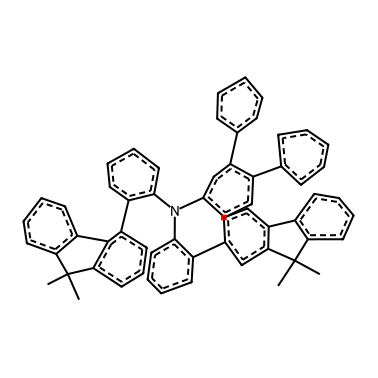 CC1(C)c2ccccc2-c2ccc(-c3ccccc3N(c3ccc(-c4ccccc4)c(-c4ccccc4)c3)c3ccccc3-c3cccc4c3-c3ccccc3C4(C)C)cc21